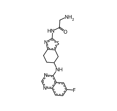 NCC(=O)Nc1nc2c(s1)CC(Nc1ncnc3ccc(F)cc13)CC2